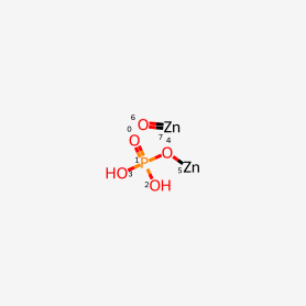 O=P(O)(O)[O][Zn].[O]=[Zn]